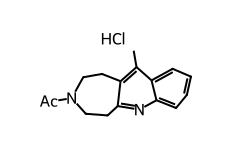 CC(=O)N1CCc2nc3ccccc3c(C)c2CC1.Cl